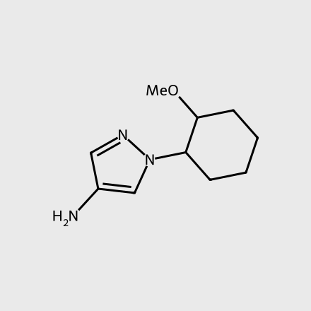 COC1CCCCC1n1cc(N)cn1